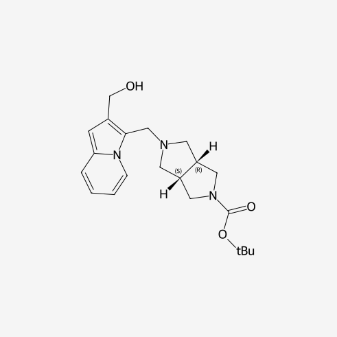 CC(C)(C)OC(=O)N1C[C@H]2CN(Cc3c(CO)cc4ccccn34)C[C@H]2C1